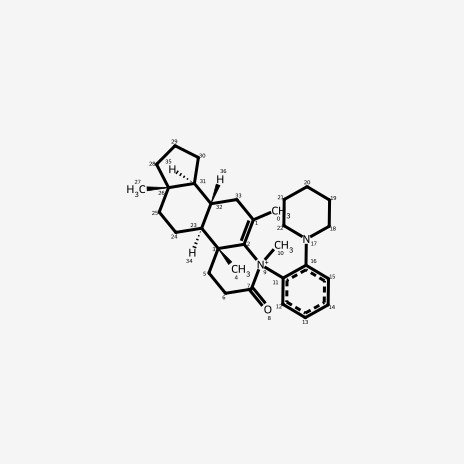 CC1=C2[C@](C)(CCC(=O)[N+]2(C)c2ccccc2N2CCCCC2)[C@H]2CC[C@]3(C)CCC[C@H]3[C@@H]2C1